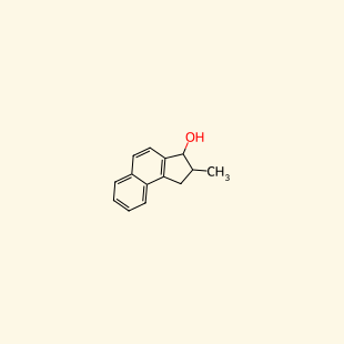 CC1Cc2c(ccc3ccccc23)C1O